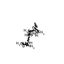 COC(=O)c1cc(N)c(NC/C=C/CNC(=O)OC(C)(C)CCCN/C(=C\C(C)=N)C(=O)N=C=S)s1